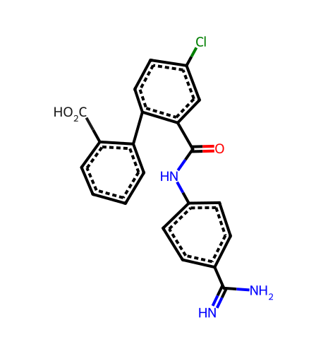 N=C(N)c1ccc(NC(=O)c2cc(Cl)ccc2-c2ccccc2C(=O)O)cc1